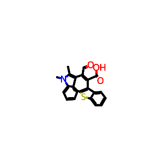 Cc1sc2ccccc2c1/C(C(=O)O)=C(/C=O)c1c(C)n(C)c2ccccc12